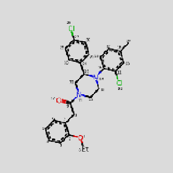 CCOc1ccccc1CC(=O)N1CCN(c2ccc(C)cc2Cl)C(c2ccc(Cl)cc2)C1